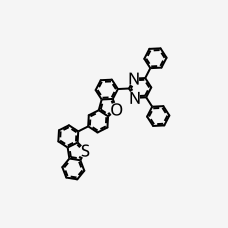 c1ccc(-c2cc(-c3ccccc3)nc(-c3cccc4c3oc3ccc(-c5cccc6c5sc5ccccc56)cc34)n2)cc1